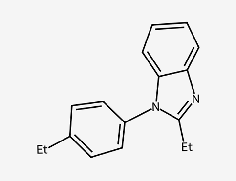 [CH2]Cc1ccc(-n2c(CC)nc3ccccc32)cc1